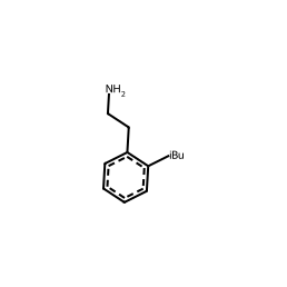 CCC(C)c1ccccc1CCN